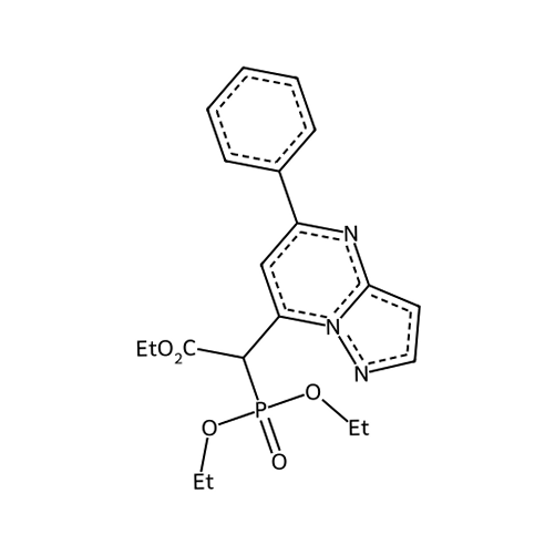 CCOC(=O)C(c1cc(-c2ccccc2)nc2ccnn12)P(=O)(OCC)OCC